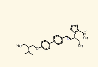 C[C@H](O)c1nccn1C(/C=C/c1ccc(-c2ccc(OCC(CO)N(C)C)cc2)cc1)CO